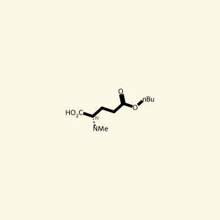 CCCCOC(=O)CC[C@H](NC)C(=O)O